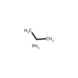 CCC.P